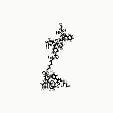 CCCC(=O)Nc1nc(-c2ccccc2)c(NC(=O)[C@@H]2CCCN2C(=O)[C@@H](NC(=O)[C@H](C)NC)C2CCN(C(=O)NCCCCCCNC(=O)N3CCC([C@H](NC(=O)[C@H](C)NC)C(=O)N4CCC[C@H]4C(=O)Nc4sc(NC(=O)CCC)nc4-c4ccccc4)CC3)CC2)s1